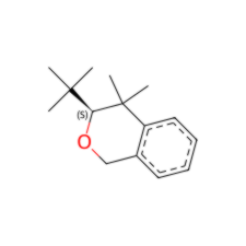 CC(C)(C)[C@@H]1OCc2ccccc2C1(C)C